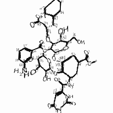 COC(=O)C1CC(NC(=O)c2cc(=O)[nH]c(=O)[nH]2)C(O[C@@H]2OC(C)[C@@H](O)C(O)C2O)[C@H](O[C@@H]2OC(CO)[C@H](O)C(O[C@@H](CC3CCCCC3)C(=O)O)C2OC(=O)c2cccc(N)c2)C1